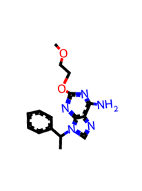 COCCOc1nc(N)c2ncn(C(C)c3ccccc3)c2n1